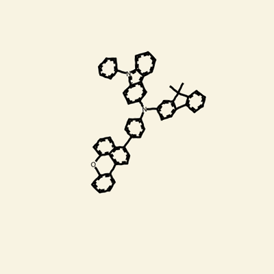 CC1(C)c2ccccc2-c2ccc(N(c3ccc(-c4ccc5c6c(cccc46)Oc4ccccc4-5)cc3)c3ccc4c(c3)c3ccccc3n4-c3ccccc3)cc21